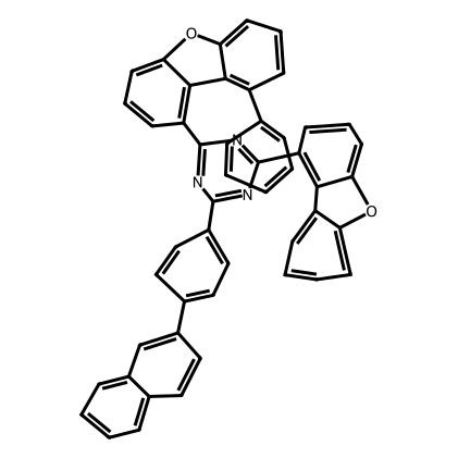 c1ccc(-c2cccc3oc4cccc(-c5nc(-c6ccc(-c7ccc8ccccc8c7)cc6)nc(-c6cccc7oc8ccccc8c67)n5)c4c23)cc1